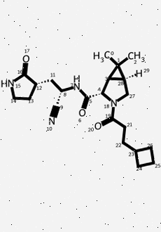 CC1(C)C2[C@@H](C(=O)N[C@H](C#N)C[C@@H]3CCNC3=O)N(C(=O)CCC3CCC3)C[C@@H]21